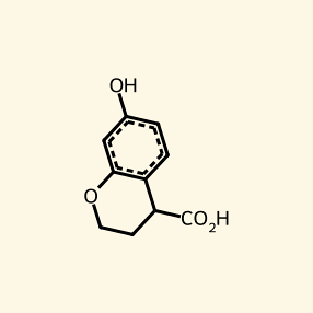 O=C(O)C1CCOc2cc(O)ccc21